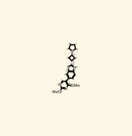 COc1ncc(-c2ccc3nc([C@H]4C[C@H](N5CCCC5)C4)sc3c2)c(OC)n1